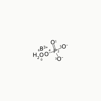 O.O=P([O-])([O-])[O-].[B+3]